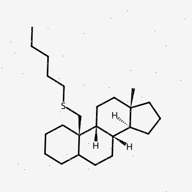 CCCCCSC[C@]12CCCCC1CC[C@@H]1[C@H]2CC[C@]2(C)CCC[C@@H]12